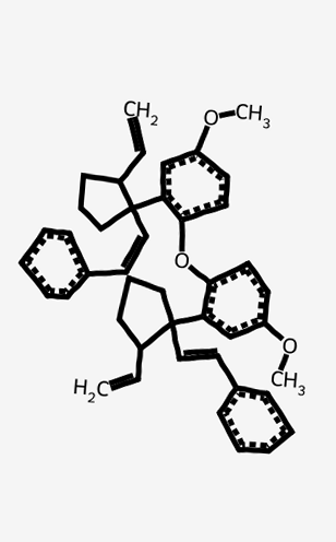 C=CC1CCCC1(C=Cc1ccccc1)c1cc(OC)ccc1Oc1ccc(OC)cc1C1(C=Cc2ccccc2)CCCC1C=C